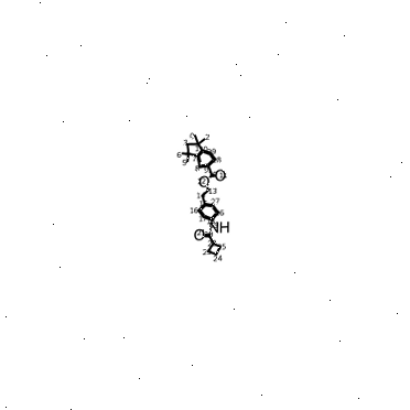 CC1(C)CC(C)(C)c2cc(C(=O)OCCc3ccc(NC(=O)C4CCC4)cc3)ccc21